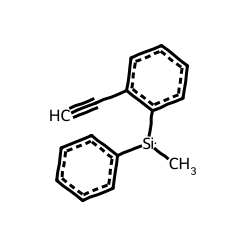 C#Cc1ccccc1[Si](C)c1ccccc1